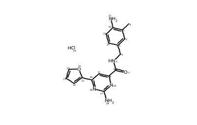 Cc1cc(CNC(=O)c2cc(-c3ccco3)nc(N)n2)ccc1N.Cl